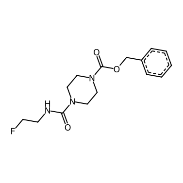 O=C(NCCF)N1CCN(C(=O)OCc2ccccc2)CC1